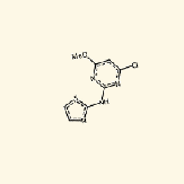 COc1cc(Cl)nc(Nc2nccs2)n1